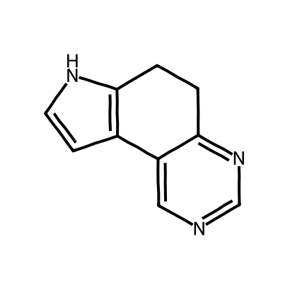 c1ncc2c(n1)CCc1[nH]ccc1-2